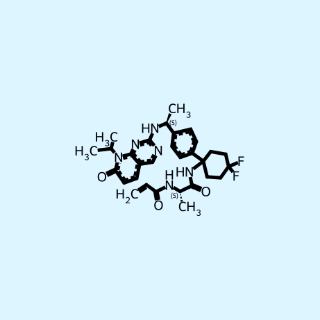 C=CC(=O)N[C@@H](C)C(=O)NC1(c2ccc([C@H](C)Nc3ncc4ccc(=O)n(C(C)C)c4n3)cc2)CCC(F)(F)CC1